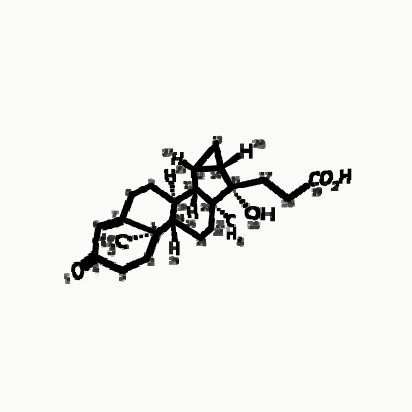 C[C@]12CCC(=O)C=C1CC[C@H]1[C@@H]3[C@@H]4C[C@@H]4[C@@](O)(CCC(=O)O)[C@@]3(C)CC[C@@H]12